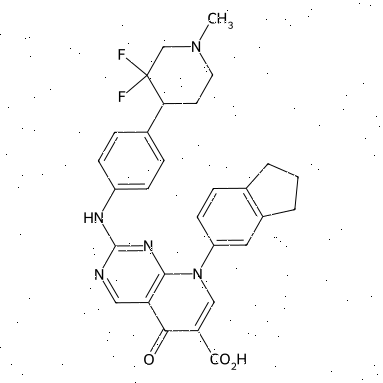 CN1CCC(c2ccc(Nc3ncc4c(=O)c(C(=O)O)cn(-c5ccc6c(c5)CCC6)c4n3)cc2)C(F)(F)C1